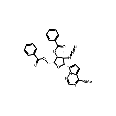 CSc1ncnn2c([C@@H]3O[C@H](COC(=O)c4ccccc4)[C@@H](OC(=O)c4ccccc4)[C@@]3(C)N=[N+]=[N-])ccc12